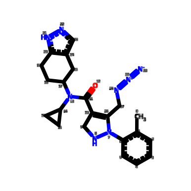 Cc1ccccc1N1NCC(C(=O)N(C2CC2)C2CCc3[nH]ncc3C2)=C1CN=[N+]=[N-]